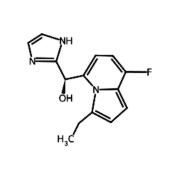 CCc1ccc2c(F)ccc([C@@H](O)c3ncc[nH]3)n12